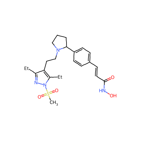 CCc1nn(S(C)(=O)=O)c(CC)c1CCN1CCCC1c1ccc(/C=C/C(=O)NO)cc1